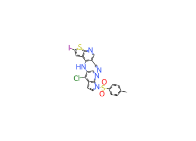 Cc1ccc(S(=O)(=O)n2ccc3c(Cl)c(Nc4c(C#N)cnc5sc(I)cc45)cnc32)cc1